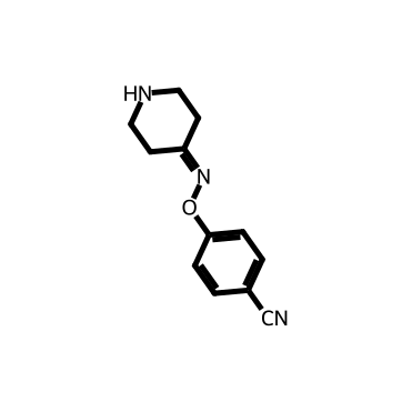 N#Cc1ccc(ON=C2CCNCC2)cc1